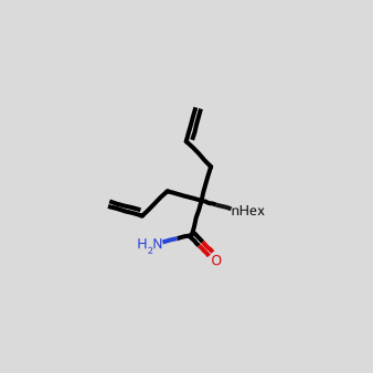 C=CCC(CC=C)(CCCCCC)C(N)=O